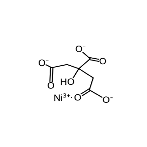 O=C([O-])CC(O)(CC(=O)[O-])C(=O)[O-].[Ni+3]